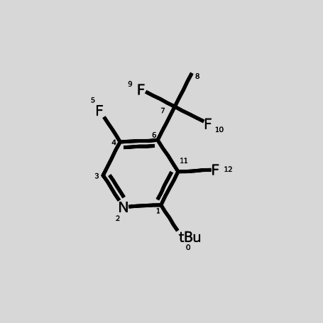 CC(C)(C)c1ncc(F)c(C(C)(F)F)c1F